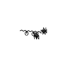 CCCCC(=O)CCCC(=O)CC(CCn1cnnn1)n1cnnn1